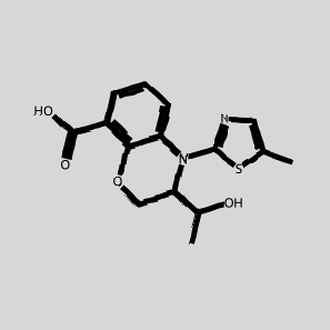 Cc1cnc(N2c3cccc(C(=O)O)c3OCC2C(C)O)s1